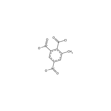 Cc1cc([N+](=O)[O-])cc([N+](=O)[O-])c1C(=O)Cl